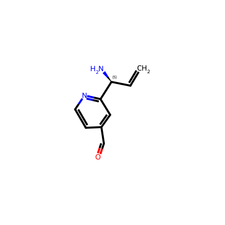 C=C[C@H](N)c1cc(C=O)ccn1